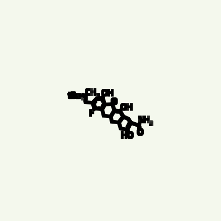 CN(Cc1cc(O)c2c(c1F)CC1CC3CC(O)=C(C(N)=O)CC3C(O)=C1C2=O)C(C)(C)C